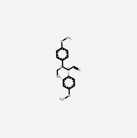 CC[C@@H](c1ccc(OC)cc1)[C@H](C=O)c1ccc(OC)cc1